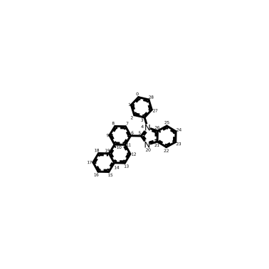 c1ccc(-n2c(-c3cccc4c3ccc3ccccc34)nc3ccccc32)cc1